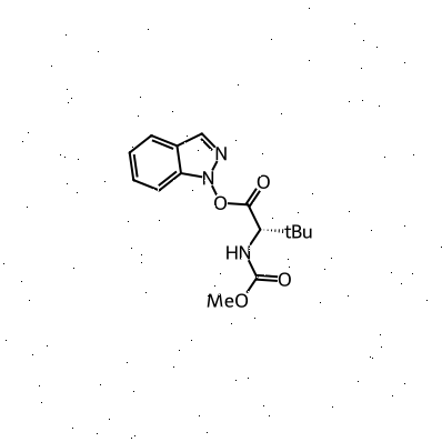 COC(=O)N[C@H](C(=O)On1ncc2ccccc21)C(C)(C)C